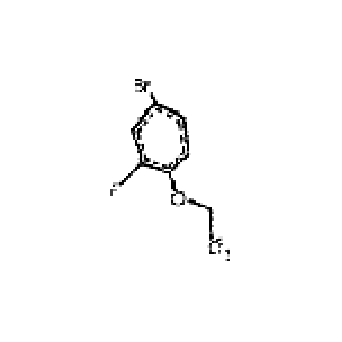 Fc1cc(Br)ccc1OCC(F)(F)F